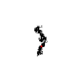 CCOc1cc(-c2ccc(N3CCC(CN4CCN(C(=O)CCN5CCC(c6ccc7c(c6)C(=O)N([C@H]6CCC(=O)NC6=O)C7)CC5)CC4)(NC(=O)c4cc(F)ccc4F)CC3)nc2)c2c(C#N)cnn2c1